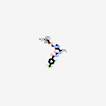 CC(NC(=O)NC(=O)c1ccc(C(F)(F)F)cc1F)c1cn(COCC[Si](C)(C)C)cn1